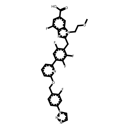 COCCn1c(Cc2c(F)cc(-c3cccc(OCc4ccc(-n5ccnn5)cc4F)n3)c(F)c2F)nc2c(F)cc(C(=O)O)cc21